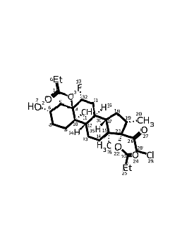 CCC(=O)O[C@]12C[C@@H](O)CC[C@]1(C)[C@H]1CC[C@@]3(C)[C@@H](C[C@H](C)[C@@]3(OC(=O)CC)C(=O)CCl)[C@@H]1C[C@H]2F